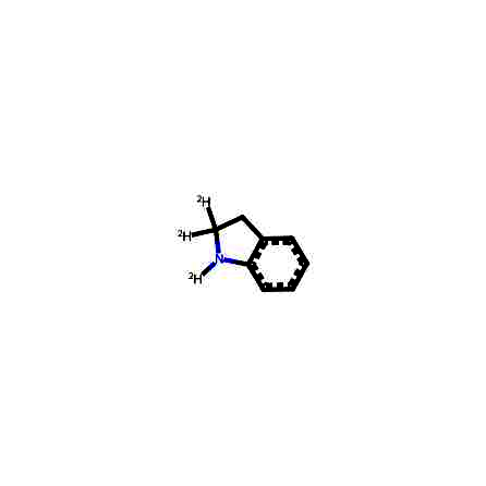 [2H]N1c2ccccc2CC1([2H])[2H]